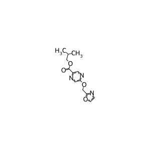 CC(C)COC(=O)c1cnc(OCc2ncco2)cn1